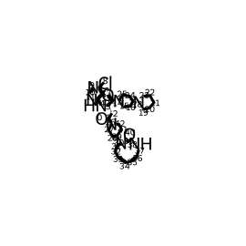 O=C(C[C@H](Nc1cc(Cl)ncn1)C(=O)N1CCC(N2CCCCC2)CC1)N1CCC(N2CC/C=C\C=C/CNC2=O)CC1